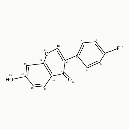 O=c1c(-c2ccc(F)cc2)coc2cc(O)ccc12